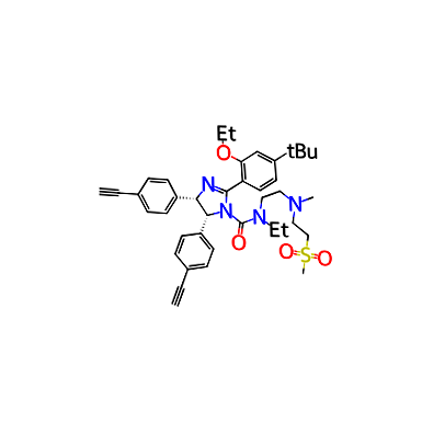 C#Cc1ccc([C@@H]2[C@H](c3ccc(C#C)cc3)N=C(c3ccc(C(C)(C)C)cc3OCC)N2C(=O)N(CC)CCN(C)CCS(C)(=O)=O)cc1